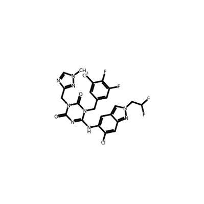 Cn1cnc(Cn2c(=O)nc(Nc3cc4cn(CC(F)F)nc4cc3Cl)n(Cc3cc(F)c(F)c(Cl)c3)c2=O)n1